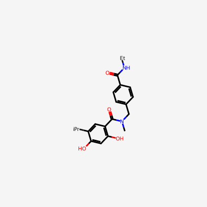 CCNC(=O)c1ccc(CN(C)C(=O)c2cc(C(C)C)c(O)cc2O)cc1